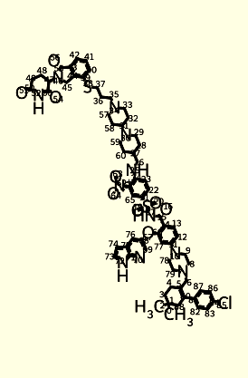 CC1(C)CCC(CN2CCN(c3ccc(C(=O)NS(=O)(=O)c4ccc(NCC5CCN(C6CCN(CCCSc7cccc8c7CN(C7CCC(=O)NC7=O)C8=O)CC6)CC5)c([N+](=O)[O-])c4)c(Oc4cnc5[nH]ccc5c4)c3)CC2)=C(c2ccc(Cl)cc2)C1